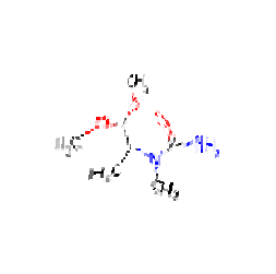 COC(OC)C(C)N(C)C(N)=O